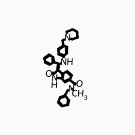 CN(Cc1ccccc1)C(=O)c1ccc2c(c1)NC(=O)C2=C(Nc1ccc(CN2CCCCC2)cc1)c1ccccc1